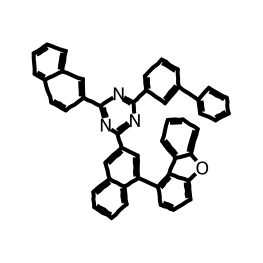 c1ccc(-c2cccc(-c3nc(-c4ccc5ccccc5c4)nc(-c4cc(-c5cccc6oc7ccccc7c56)c5ccccc5c4)n3)c2)cc1